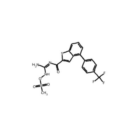 CS(=O)(=O)ONC(N)=NC(=O)c1cc2c(-c3ccc(C(F)(F)F)cc3)cccc2s1